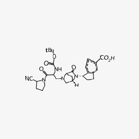 CC(C)(C)OC(=O)NC(CN1C[C@@H]2CC1C(=O)N2[C@H]1CCc2cc(C(=O)O)ccc21)C(=O)N1CCCC1C#N